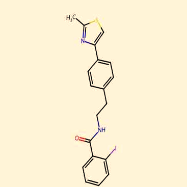 Cc1nc(-c2ccc(CCNC(=O)c3ccccc3I)cc2)cs1